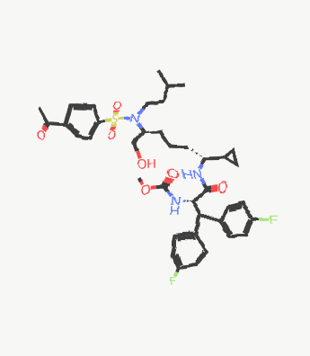 COC(=O)N[C@H](C(=O)N[C@H](CCC[C@@H](CO)N(CCC(C)C)S(=O)(=O)c1ccc(C(C)=O)cc1)C1CC1)C(c1ccc(F)cc1)c1ccc(F)cc1